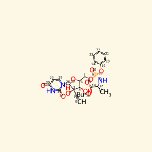 C#C[C@@]1(O)[C@H](O)C(COP(=O)(N[C@@H](C)C(=O)O[C@@H](C)CC)Oc2ccccc2)O[C@H]1n1ccc(=O)[nH]c1=O